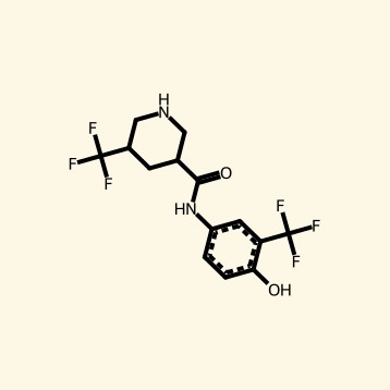 O=C(Nc1ccc(O)c(C(F)(F)F)c1)C1CNCC(C(F)(F)F)C1